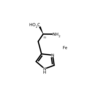 N[C@@H](Cc1c[nH]cn1)C(=O)O.[Fe]